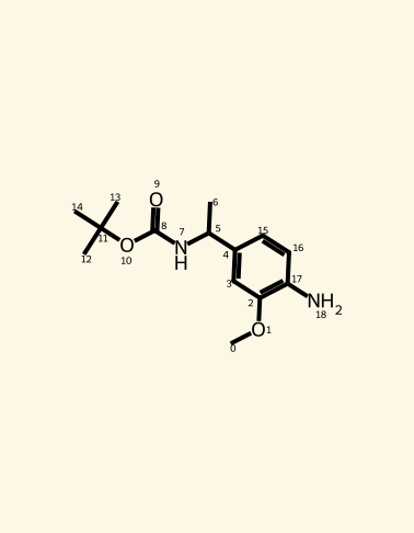 COc1cc(C(C)NC(=O)OC(C)(C)C)ccc1N